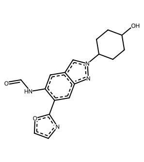 O=CNc1cc2cn(C3CCC(O)CC3)nc2cc1-c1ncco1